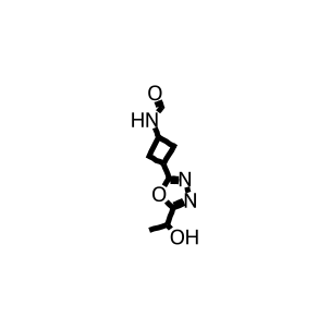 CC(O)c1nnc(C2CC(NC=O)C2)o1